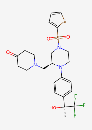 C[C@](O)(c1ccc(N2CCN(S(=O)(=O)c3cccs3)C[C@@H]2CN2CCC(=O)CC2)cc1)C(F)(F)F